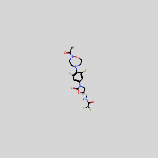 CC(C)C(=O)N1CCN(c2c(F)cc(N3C[C@H](CNC(=O)C(F)F)OC3=O)cc2F)CCO1